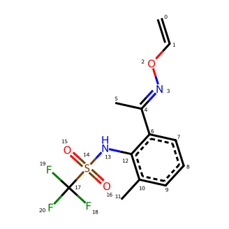 C=CO/N=C(\C)c1cccc(C)c1NS(=O)(=O)C(F)(F)F